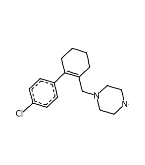 Clc1ccc(C2=C(CN3CC[N]CC3)CCCC2)cc1